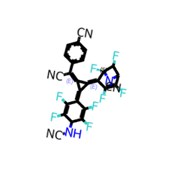 N#CNC1C(F)=C(F)C(=C2C(=C(\C#N)c3ccc(C#N)cc3)/C2=C2/C(F)=C(F)C3C(F)[C@]2(F)N3C#N)C(F)=C1F